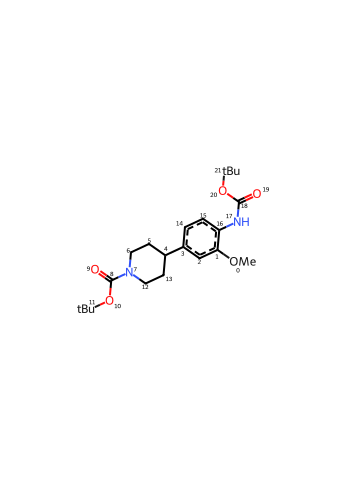 COc1cc(C2CCN(C(=O)OC(C)(C)C)CC2)ccc1NC(=O)OC(C)(C)C